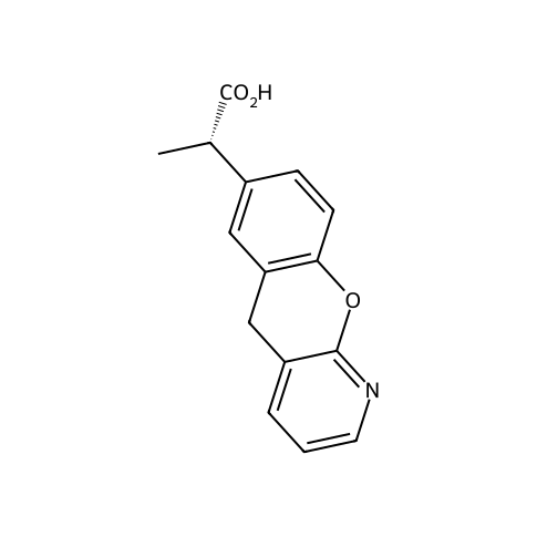 C[C@H](C(=O)O)c1ccc2c(c1)Cc1cccnc1O2